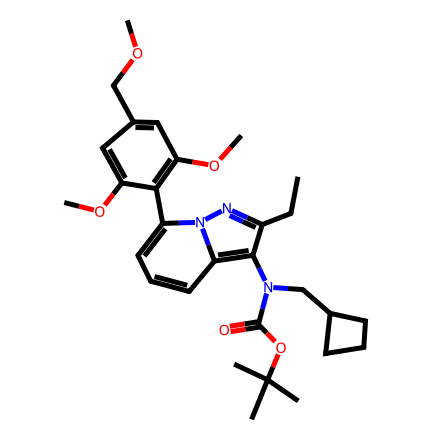 CCc1nn2c(-c3c(OC)cc(COC)cc3OC)cccc2c1N(CC1CCC1)C(=O)OC(C)(C)C